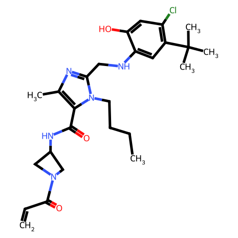 C=CC(=O)N1CC(NC(=O)c2c(C)nc(CNc3cc(C(C)(C)C)c(Cl)cc3O)n2CCCC)C1